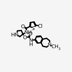 CN1CCc2ccc(NC(=O)OC3(NC(=O)c4ccc(Cl)s4)CCNC3)cc2CC1